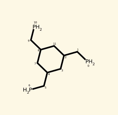 PCC1CC(CP)CC(CP)C1